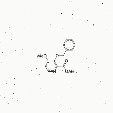 COC(=O)c1nccc(OC)c1OCc1ccccc1